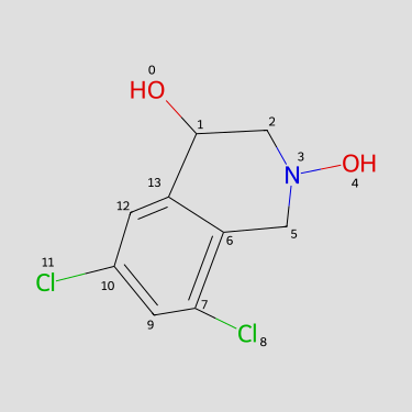 OC1CN(O)Cc2c(Cl)cc(Cl)cc21